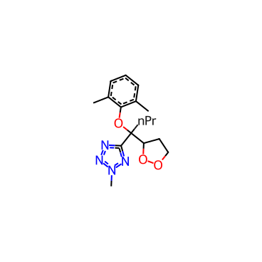 CCCC(Oc1c(C)cccc1C)(c1nnn(C)n1)C1CCOO1